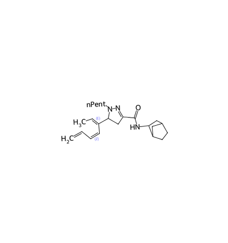 C=C/C=C\C(=C/C)C1CC(C(=O)NC2CC3CCC2C3)=NN1CCCCC